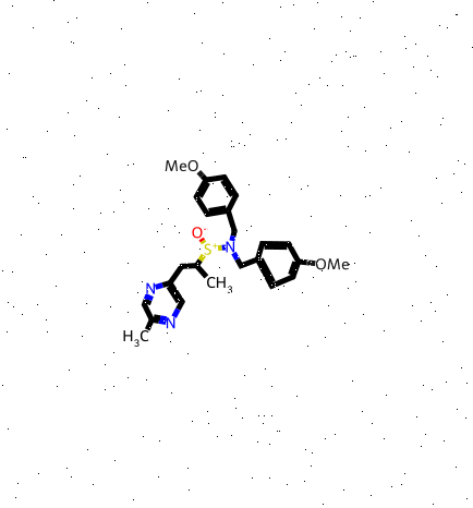 COc1ccc(CN(Cc2ccc(OC)cc2)[S+]([O-])C(C)Cc2cnc(C)cn2)cc1